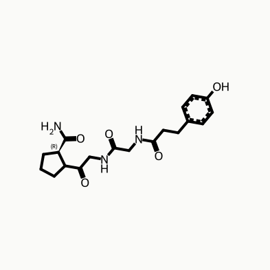 NC(=O)[C@@H]1CCCC1C(=O)CNC(=O)CNC(=O)CCc1ccc(O)cc1